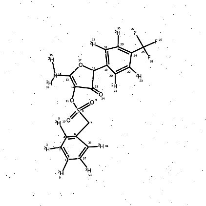 [2H]c1c([2H])c([2H])c(CS(=O)(=O)OC2=C(N([2H])[2H])OC(c3c([2H])c([2H])c(C(F)(F)F)c([2H])c3[2H])C2=O)c([2H])c1[2H]